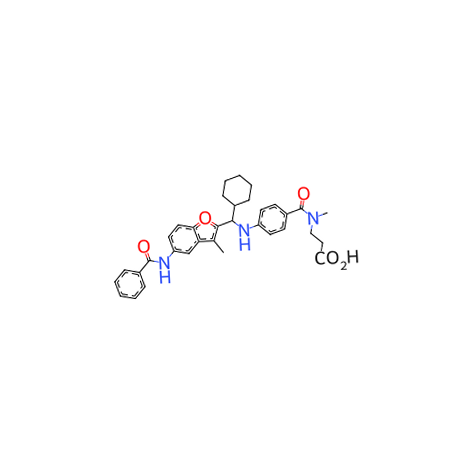 Cc1c(C(Nc2ccc(C(=O)N(C)CCC(=O)O)cc2)C2CCCCC2)oc2ccc(NC(=O)c3ccccc3)cc12